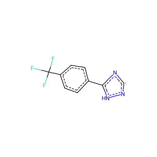 FC(F)(F)c1ccc(-c2n[c]n[nH]2)cc1